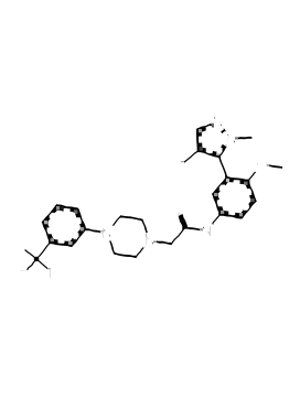 COc1ccc(NC(=O)CN2CCN(c3cccc(C(F)(F)F)c3)CC2)cc1-c1c(Cl)cnn1C